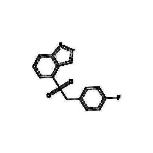 O=S(=O)(Cc1ccc(F)cc1)c1cccc2s[c]cc12